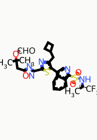 C[C@H](NS(=O)(=O)c1ncc(-c2sc(-c3noc(CC(C)(C)OC=O)n3)nc2CC2CCC2)c2ccccc12)C(F)(F)F